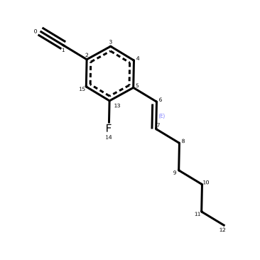 C#Cc1ccc(/C=C/CCCCC)c(F)c1